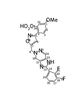 COc1ccc(-c2cc(CN3Cc4nc(-c5cccc(F)c5F)[nH]c4C=N3)on2)c(C(=O)O)c1